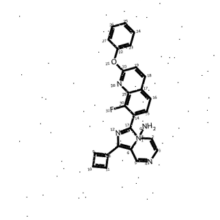 N[N+]12C=CN=CC1=C(C1=CC=C1)N=C2c1ccc2ccc(Oc3ccccc3)nc2c1F